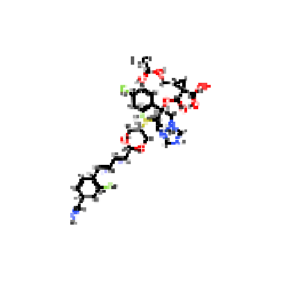 CC(=O)OCC1CC1(C(=O)O)C(=O)O[C@@](Cn1cncn1)(c1ccc(F)cc1F)[C@@H](C)S[C@H]1CO[C@H](/C=C/C=C/c2ccc(C#N)cc2F)OC1